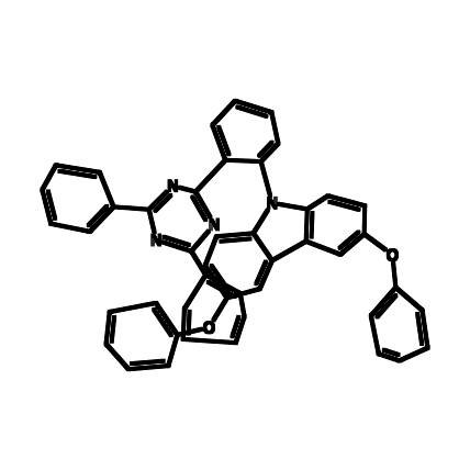 c1ccc(Oc2ccc3c(c2)c2cc(Oc4ccccc4)ccc2n3-c2ccccc2-c2nc(-c3ccccc3)nc(-c3ccccc3)n2)cc1